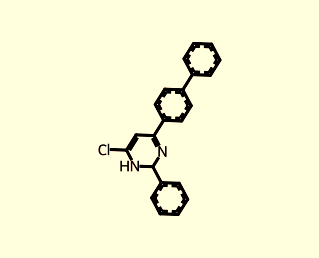 ClC1=CC(c2ccc(-c3ccccc3)cc2)=NC(c2ccccc2)N1